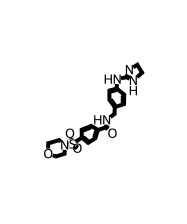 O=C(NCc1ccc(NC2=NCCN2)cc1)c1ccc(S(=O)(=O)N2CCOCC2)cc1